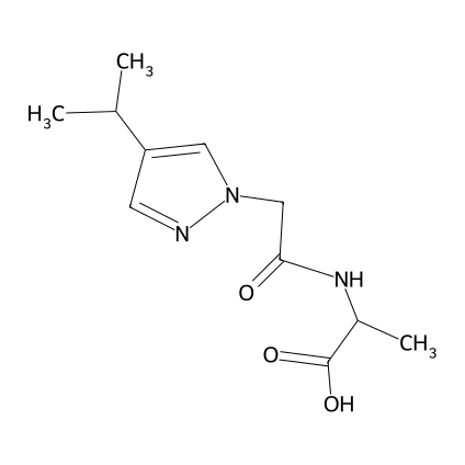 CC(NC(=O)Cn1cc(C(C)C)cn1)C(=O)O